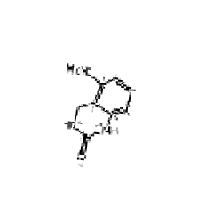 CNc1cccc2c1CNC(=O)N2